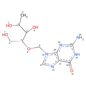 CC(O)C(O)[C@@H](CO)OCn1cnc2c(=O)[nH]c(N)nc21